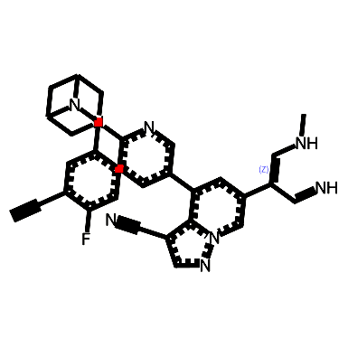 C#Cc1cc(CN2C3CC2CN(c2ccc(-c4cc(/C(C=N)=C/NC)cn5ncc(C#N)c45)cn2)C3)ccc1F